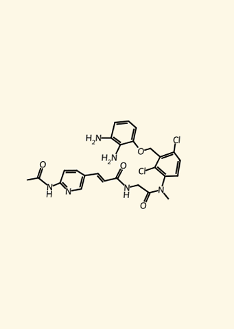 CC(=O)Nc1ccc(C=CC(=O)NCC(=O)N(C)c2ccc(Cl)c(COc3cccc(N)c3N)c2Cl)cn1